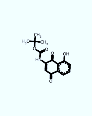 CC(C)(C)OC(=O)NC1=CC(=O)c2cccc(O)c2C1=O